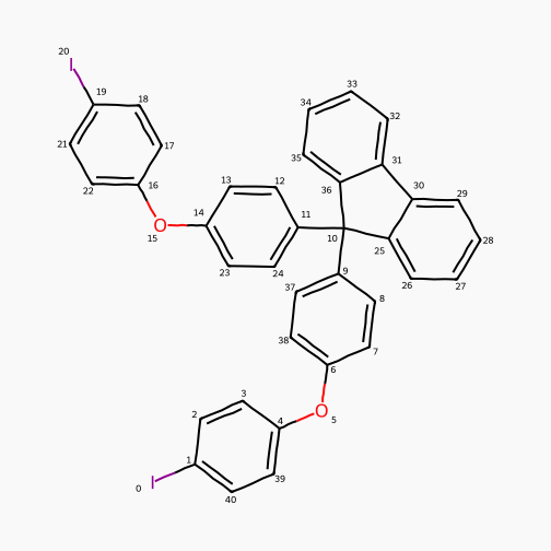 Ic1ccc(Oc2ccc(C3(c4ccc(Oc5ccc(I)cc5)cc4)c4ccccc4-c4ccccc43)cc2)cc1